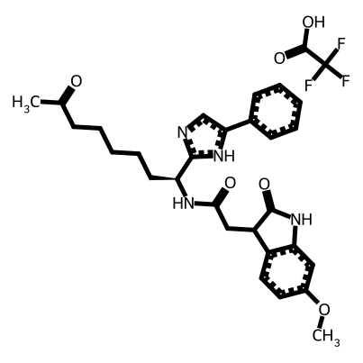 COc1ccc2c(c1)NC(=O)C2CC(=O)N[C@@H](CCCCCC(C)=O)c1ncc(-c2ccccc2)[nH]1.O=C(O)C(F)(F)F